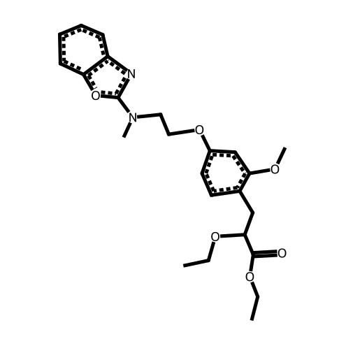 CCOC(=O)C(Cc1ccc(OCCN(C)c2nc3ccccc3o2)cc1OC)OCC